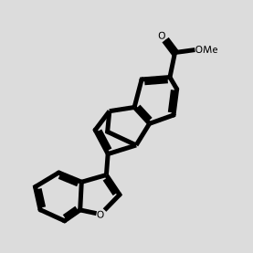 COC(=O)c1ccc2c(c1)C1C=C(c3coc4ccccc34)C2C1